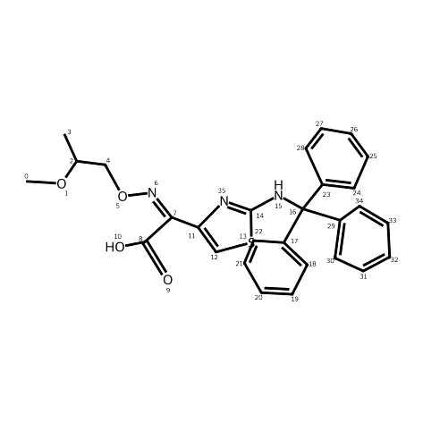 COC(C)CON=C(C(=O)O)c1csc(NC(c2ccccc2)(c2ccccc2)c2ccccc2)n1